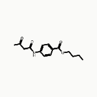 CCCCOC(=O)c1ccc(NC(=O)CC(C)=O)cc1